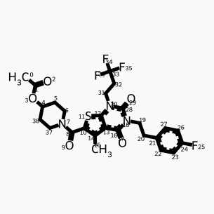 CC(=O)OC1CCN(C(=O)c2sc3c(c2C)c(=O)n(CCc2ccc(F)cc2)c(=O)n3CCC(F)(F)F)CC1